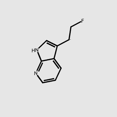 FC[CH]c1c[nH]c2ncccc12